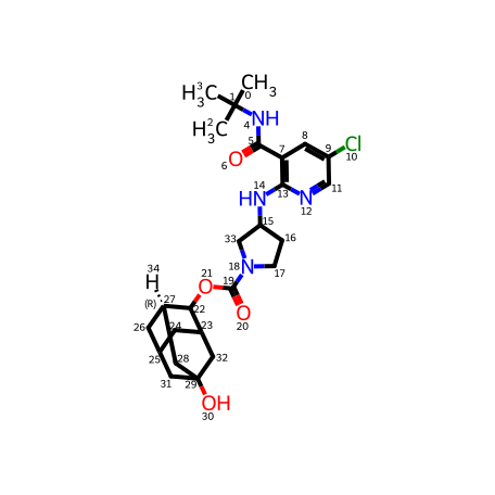 CC(C)(C)NC(=O)c1cc(Cl)cnc1NC1CCN(C(=O)OC2C3CC4C[C@@H]2CC(O)(C4)C3)C1